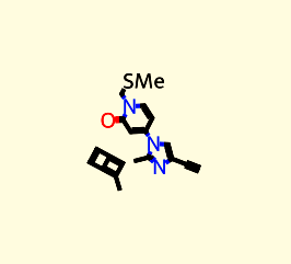 C#Cc1cn(-c2ccn(CSC)c(=O)c2)c(C)n1.Cc1cc2ccc1-2